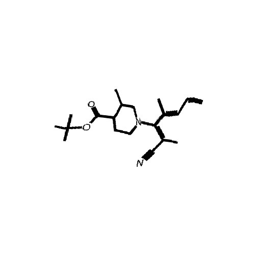 C=C/C=C(C)/C(=C(\C)C#N)N1CCC(C(=O)OC(C)(C)C)C(C)C1